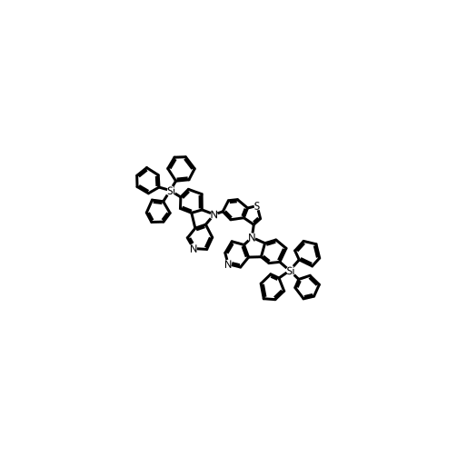 c1ccc([Si](c2ccccc2)(c2ccccc2)c2ccc3c(c2)c2cnccc2n3-c2ccc3scc(-n4c5ccncc5c5cc([Si](c6ccccc6)(c6ccccc6)c6ccccc6)ccc54)c3c2)cc1